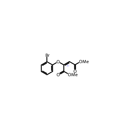 COC(=O)/C=C(/Oc1ccccc1Br)C(=O)OC